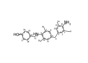 Cc1cc(Cc2cc(C)c(NCc3ccc(O)cc3)c(C)c2)cc(C)c1N